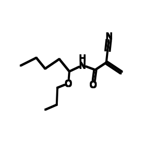 C=C(C#N)C(=O)NC(CCCC)OCCC